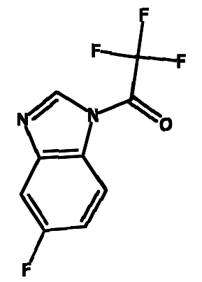 O=C(n1cnc2cc(F)ccc21)C(F)(F)F